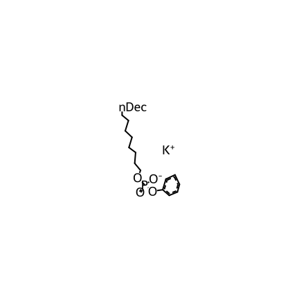 CCCCCCCCCCCCCCCCCCOP(=O)([O-])Oc1ccccc1.[K+]